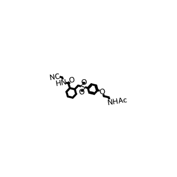 CC(=O)NCCOc1ccc(S(=O)(=O)CC2CCCCC2C(=O)NCC#N)cc1